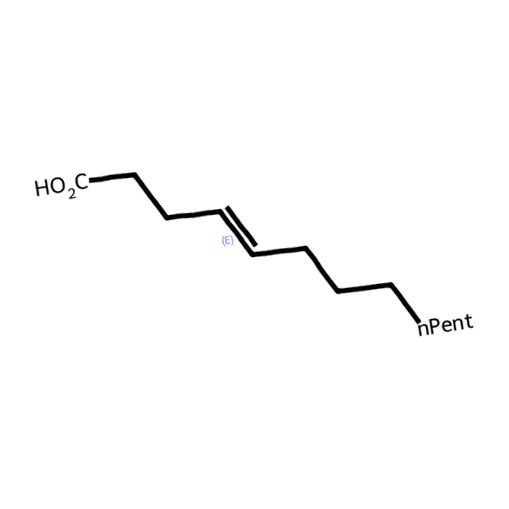 CCCCCCCC/C=C/CCC(=O)O